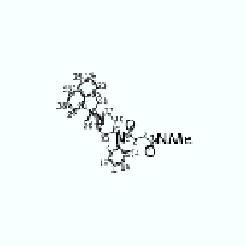 CNC(=O)CCC(=O)N(c1ccccc1C)C1CCN([C@@]2(C)Cc3cccc4cccc2c34)CC1